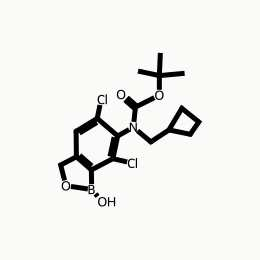 CC(C)(C)OC(=O)N(CC1CCC1)c1c(Cl)cc2c(c1Cl)B(O)OC2